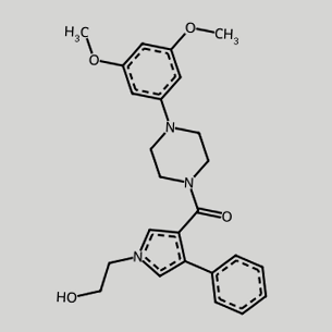 COc1cc(OC)cc(N2CCN(C(=O)c3cn(CCO)cc3-c3ccccc3)CC2)c1